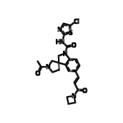 CC(=O)N1CCC2(C1)CN(C(=O)Nc1ncc(Cl)s1)c1ccc(C=CC(=O)N3CCC3)cc12